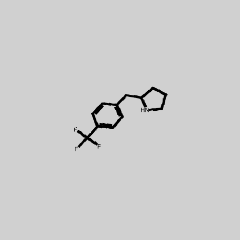 FC(F)(F)c1ccc(CC2CCCN2)cc1